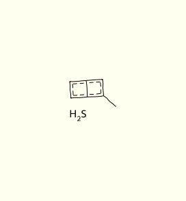 Cc1cc2ccc1-2.S